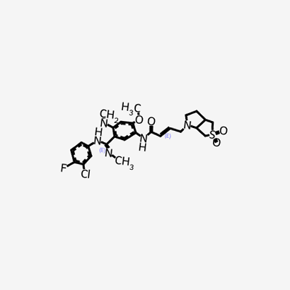 C=Nc1cc(OC)c(NC(=O)/C=C/CN2CCC3CS(=O)(=O)CC32)cc1/C(=N\C)Nc1ccc(F)c(Cl)c1